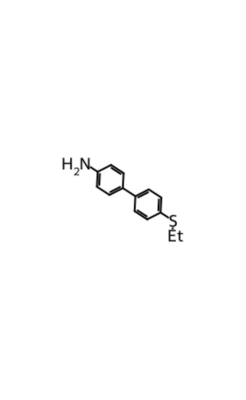 CCSc1ccc(-c2ccc(N)cc2)cc1